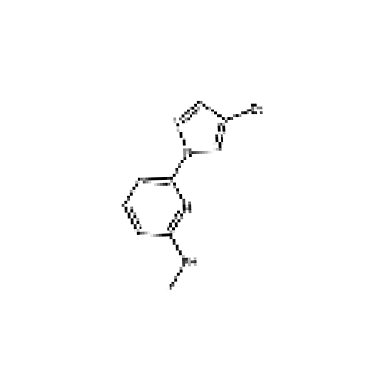 CCc1cnn(-c2cccc(PC)n2)c1